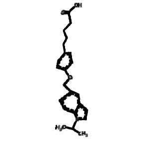 CC(C)n1ccc2cc(COc3ccc(CCCCC(=O)O)cc3)ccc21